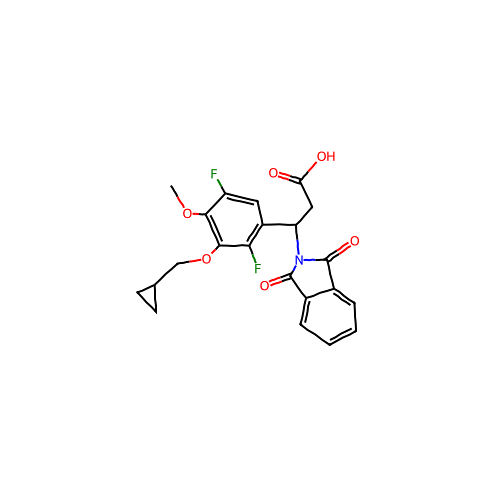 COc1c(F)cc(C(CC(=O)O)N2C(=O)c3ccccc3C2=O)c(F)c1OCC1CC1